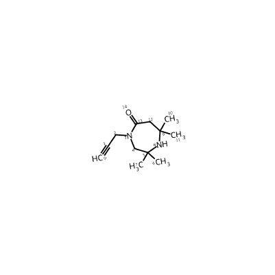 C#CCN1CC(C)(C)NC(C)(C)CC1=O